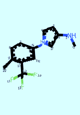 CNc1ccn(-c2ccc(C)c(C(F)(F)F)c2)c1